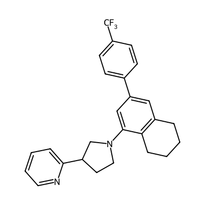 FC(F)(F)c1ccc(-c2cc3c(c(N4CCC(c5ccccn5)C4)c2)CCCC3)cc1